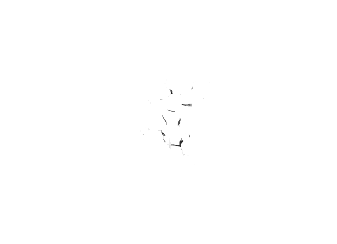 Cc1nc(Cl)c2cc3c(cc2n1)c(=O)n(C)c(=O)n3C